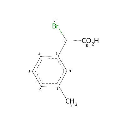 Cc1cccc(C(Br)C(=O)O)c1